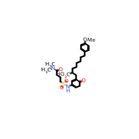 COc1ccc(CCCCCCC(CC2=CC(NS(=O)(=O)CCCC(=O)N(C)C)=CCC2=O)C(=O)O)cc1